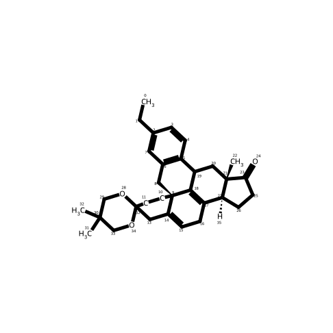 CCc1ccc2c(c1)C[C@]13CCC4(CC1=CCC1=C3C2C[C@]2(C)C(=O)CC[C@@H]12)OCC(C)(C)CO4